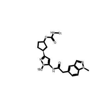 CCNC(=O)OC1CC[C@H](c2cc(NC(=O)Cc3ccc4c(cnn4C)c3)n(C(C)(C)C)n2)C1